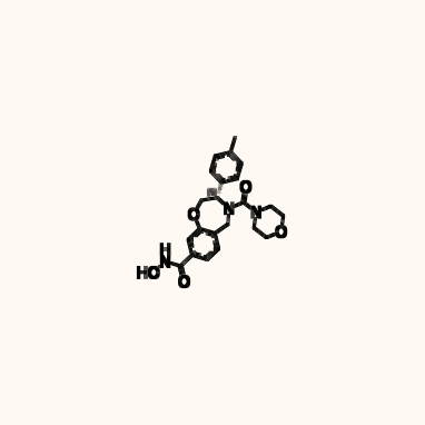 Cc1ccc([C@H]2COc3cc(C(=O)NO)ccc3CN2C(=O)N2CCOCC2)cc1